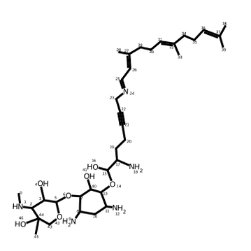 CNC1C(O)C(OC2C(N)CC(N)C(OC(O)C(N)CCC#CC/N=C/C=C(\C)CC/C=C(\C)CCC=C(C)C)C2O)OCC1(C)O